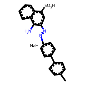 Cc1ccc(-c2ccc(N=Nc3cc(S(=O)(=O)O)c4ccccc4c3N)cc2)cc1.[NaH]